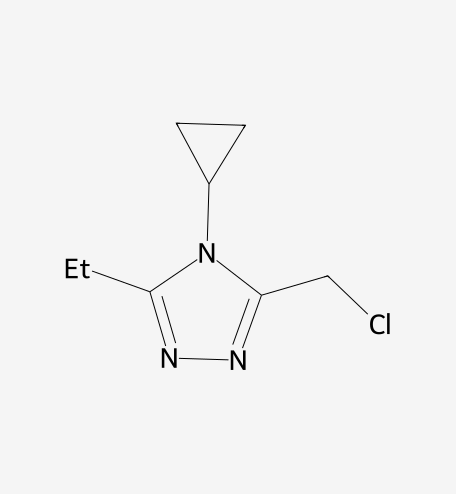 CCc1nnc(CCl)n1C1CC1